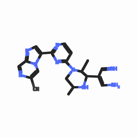 CC1CN(c2ccnc(-c3cnc4cnc(C#N)cn34)n2)C(C)C(/C(C=N)=C/N)N1